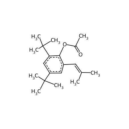 CC(=O)Oc1c(C=C(C)C)cc(C(C)(C)C)cc1C(C)(C)C